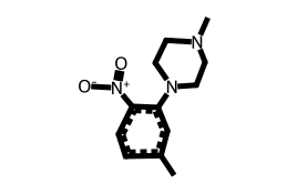 Cc1ccc([N+](=O)[O-])c(N2CCN(C)CC2)c1